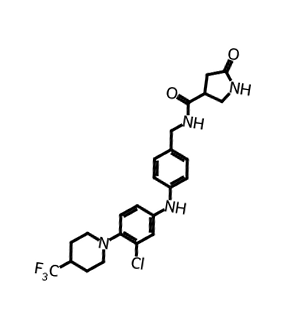 O=C1CC(C(=O)NCc2ccc(Nc3ccc(N4CCC(C(F)(F)F)CC4)c(Cl)c3)cc2)CN1